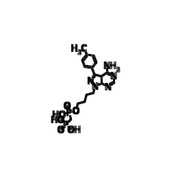 Cc1ccc(C2=NN(CCCCOP(=O)(O)CP(=O)(O)O)C3N=CN=C(N)C23)cc1